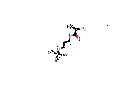 C=C(C)C(=O)OCCCO[Si](OC(C)=O)(OC(C)=O)OC(C)=O